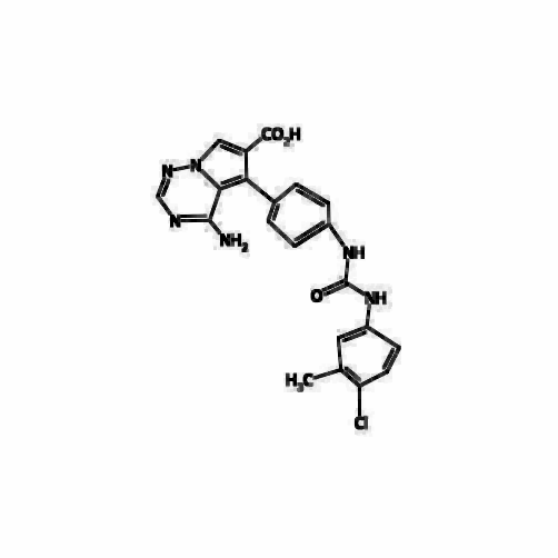 Cc1cc(NC(=O)Nc2ccc(-c3c(C(=O)O)cn4ncnc(N)c34)cc2)ccc1Cl